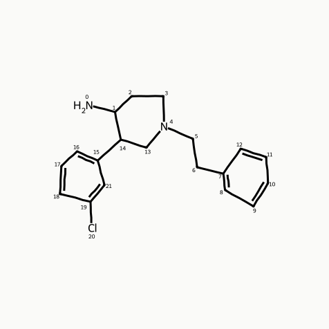 NC1CCN(CCc2ccccc2)CC1c1cccc(Cl)c1